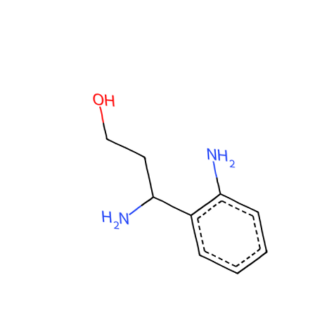 Nc1ccccc1C(N)CCO